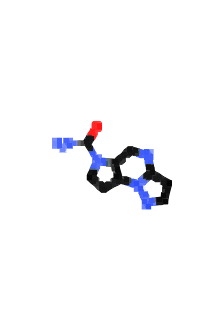 NC(=O)n1ccc2c1cnc1ccnn12